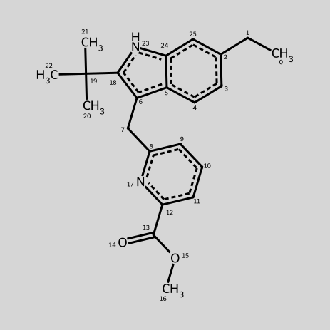 CCc1ccc2c(Cc3cccc(C(=O)OC)n3)c(C(C)(C)C)[nH]c2c1